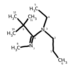 CCCN(CC)C(=NC)C(C)(C)C